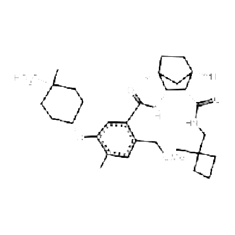 COCc1cc(F)c(O[C@H]2CC[C@@](C)(C(=O)O)CC2)cc1C(=O)N[C@@H]1[C@H]2CC[C@H](C2)[C@@H]1C(=O)NCC1(C)CCC1